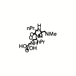 CCC[C@H](NC(=O)CNC)C(=O)N[C@@H](CCC)C(=O)NCP(=O)(O)O